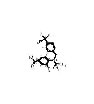 CC(C)N(Cc1ccc(C(F)(F)F)nc1)c1ccc(C(=O)O)cc1F